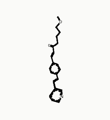 COCCCCC(=O)C=Cc1ccc(C=Cc2cccnc2)cc1